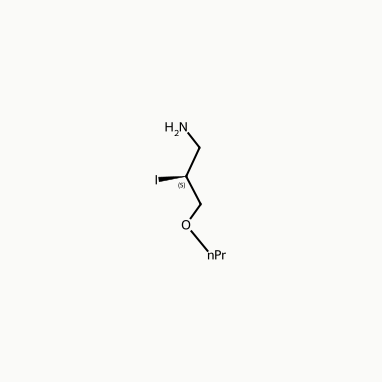 CCCOC[C@@H](I)CN